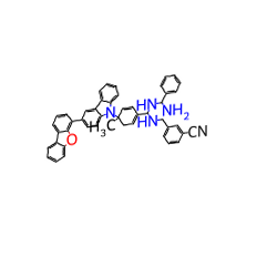 CC1(n2c3ccccc3c3cc(-c4cccc5c4oc4ccccc45)ccc32)C=CC(C(NCc2cccc(C#N)c2)NC(N)c2ccccc2)=CC1